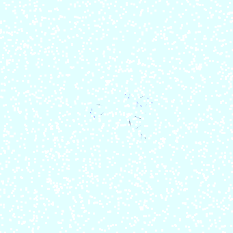 Cc1cc(CC2(CO)CCN(Cc3cnc(C)n3Cc3ccc(C#N)cc3)CC2)ccn1